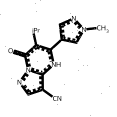 CC(C)c1c(-c2cnn(C)c2)[nH]c2c(C#N)cnn2c1=O